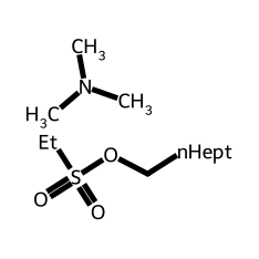 CCCCCCCCOS(=O)(=O)CC.CN(C)C